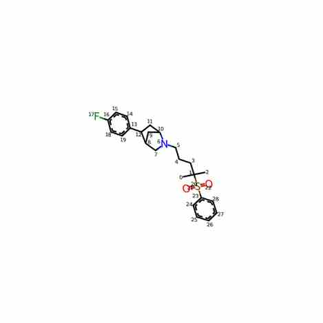 CC(C)(CCCN1CC2CC1CC2c1ccc(F)cc1)S(=O)(=O)c1ccccc1